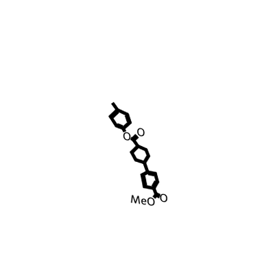 COC(=O)c1ccc(C2CCC(C(=O)Oc3ccc(C)cc3)CC2)cc1